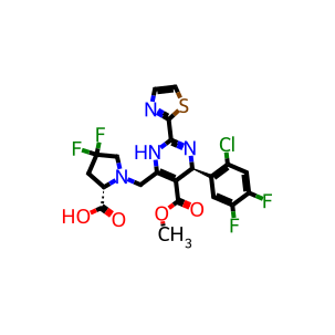 COC(=O)C1=C(CN2CC(F)(F)C[C@H]2C(=O)O)NC(c2nccs2)=N[C@H]1c1cc(F)c(F)cc1Cl